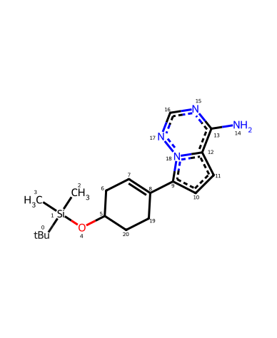 CC(C)(C)[Si](C)(C)OC1CC=C(c2ccc3c(N)ncnn23)CC1